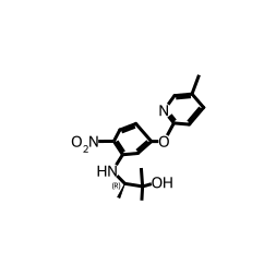 Cc1ccc(Oc2ccc([N+](=O)[O-])c(N[C@H](C)C(C)(C)O)c2)nc1